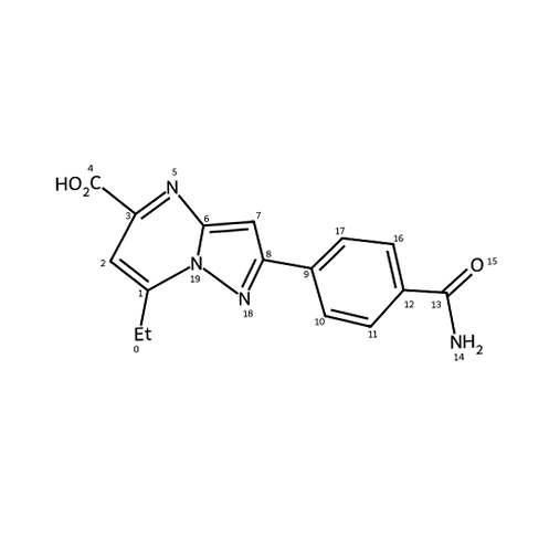 CCc1cc(C(=O)O)nc2cc(-c3ccc(C(N)=O)cc3)nn12